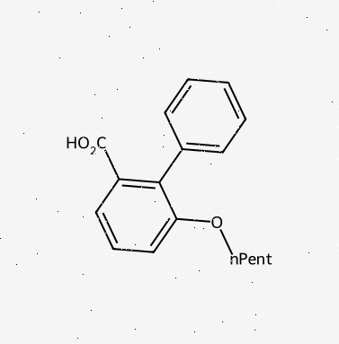 CCCCCOc1cccc(C(=O)O)c1-c1ccccc1